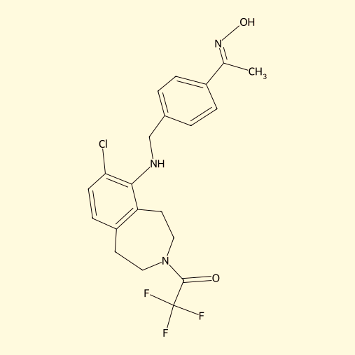 CC(=NO)c1ccc(CNc2c(Cl)ccc3c2CCN(C(=O)C(F)(F)F)CC3)cc1